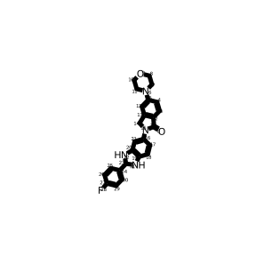 O=C1c2ccc(N3CCOCC3)cc2CN1c1ccc2c(c1)NC(c1ccc(F)cc1)N2